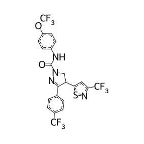 O=C(Nc1ccc(OC(F)(F)F)cc1)N1CC(c2cc(C(F)(F)F)ns2)C(c2ccc(C(F)(F)F)cc2)=N1